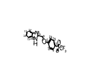 O=S(=O)(c1ccc(OCc2nc3ccccc3[nH]2)cc1)C(F)(F)F